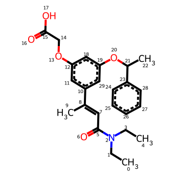 CCN(CC)C(=O)C=C(C)c1cc(OCC(=O)O)cc(OC(C)c2ccccc2)c1